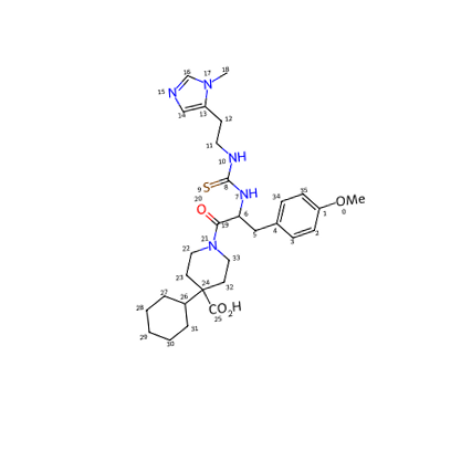 COc1ccc(CC(NC(=S)NCCc2cncn2C)C(=O)N2CCC(C(=O)O)(C3CCCCC3)CC2)cc1